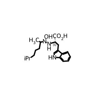 CC(C)CCCC(C)N(O)N[C@@H](Cc1c[nH]c2ccccc12)C(=O)O